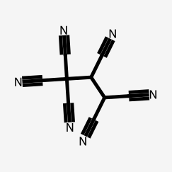 N#CC(C#N)C(C#N)C(C#N)(C#N)C#N